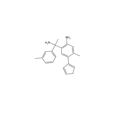 Cc1cccc(S(C)(N)c2cc(C3=CCC=C3)c(C)cc2N)c1